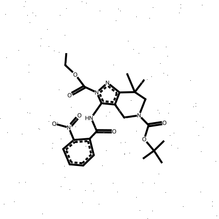 CCOC(=O)n1nc2c(c1NC(=O)c1ccccc1[N+](=O)[O-])CN(C(=O)OC(C)(C)C)CC2(C)C